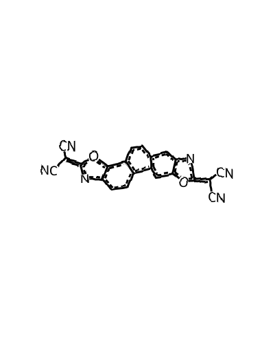 N#CC(C#N)=c1nc2cc3ccc4c(ccc5nc(=C(C#N)C#N)oc54)c3cc2o1